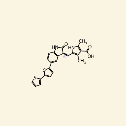 Cc1[nH]c(/C=C2\C(=O)Nc3ccc(-c4ccc(-c5cccs5)s4)cc32)c(C)c1C(=O)O